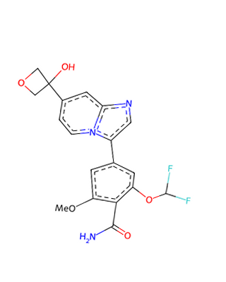 COc1cc(-c2cnc3cc(C4(O)COC4)ccn23)cc(OC(F)F)c1C(N)=O